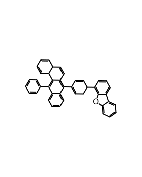 C1=CC2C=Cc3c(c(-c4ccccc4)c4ccccc4c3C3=CCC(c4cccc5c4oc4ccccc45)C=C3)C2C=C1